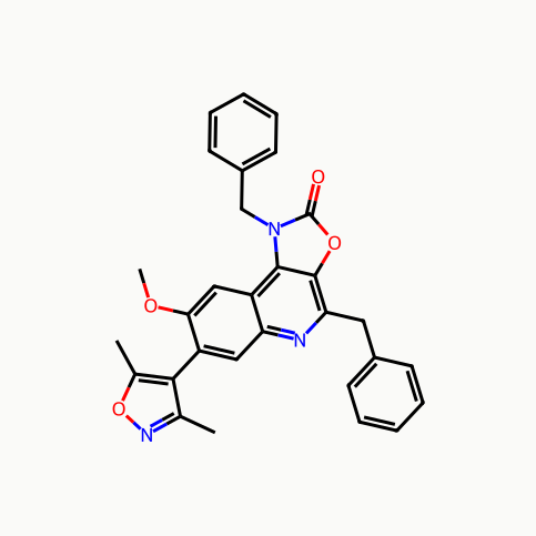 COc1cc2c(cc1-c1c(C)noc1C)nc(Cc1ccccc1)c1oc(=O)n(Cc3ccccc3)c12